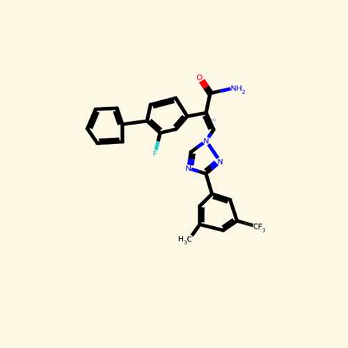 Cc1cc(-c2ncn(/C=C(/C(N)=O)c3ccc(-c4ccccc4)c(F)c3)n2)cc(C(F)(F)F)c1